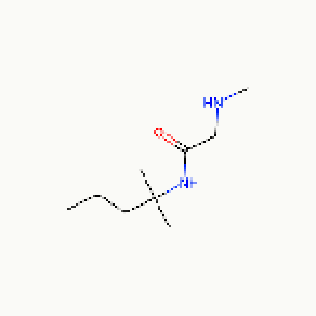 CCCC(C)(C)NC(=O)CNC